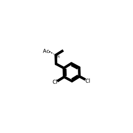 CC(=O)[C@H](C)Cc1ccc(Cl)cc1Cl